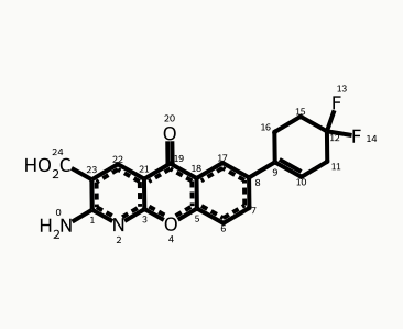 Nc1nc2oc3ccc(C4=CCC(F)(F)CC4)cc3c(=O)c2cc1C(=O)O